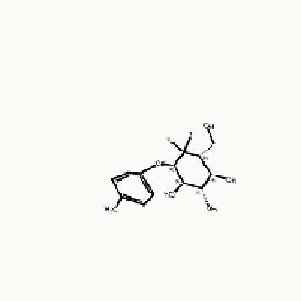 Cc1ccc(O[C@@H]2[C@H](O)[C@@H](O)[C@H](O)[C@@H](CO)C2(F)F)cc1